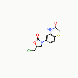 O=C1CSc2ccc(N3C[C@@H](CCl)OC3=O)cc2N1